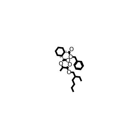 CCCCC(CC)COC(=O)C(C)OC(=O)[C@@H]1CCCC[C@@H]1C(=O)OCc1ccccc1